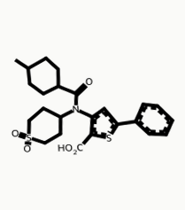 CC1CCC(C(=O)N(c2cc(-c3ccccc3)sc2C(=O)O)C2CCS(=O)(=O)CC2)CC1